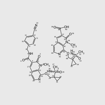 Cn1c(=O)c(C(=O)NCc2ccc(C#N)cc2)cc2ccnc(OCC3(S(C)(=N)=O)CC3)c21.Cn1c(=O)c(C(=O)O)cc2ccnc(OCC3(S(C)(=N)=O)CC3)c21